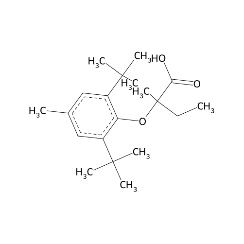 CCC(C)(Oc1c(C(C)(C)C)cc(C)cc1C(C)(C)C)C(=O)O